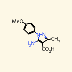 COc1ccc(-n2nc(C)c(C(=O)O)c2N)cc1